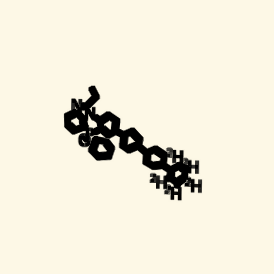 [2H]c1c([2H])c([2H])c(-c2ccc(-c3ccc(-c4ccc5c(c4)P(=O)(c4ccccc4)c4cccc6nc(CC)n-5c46)cc3)cc2)c([2H])c1[2H]